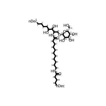 CCCCCCCCCCCCCCC(O)C(O)C(CO[C@H]1O[C@H](CO)[C@H](O)[C@H](O)[C@H]1O)NC(=O)CCCCCCCCCCNC(=O)CCCCCCCCCCCCC